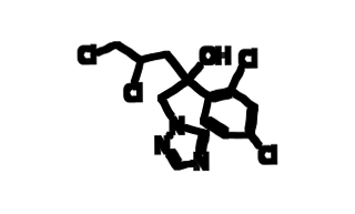 OC(CC(Cl)CCl)(Cn1cncn1)c1ccc(Cl)cc1Cl